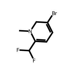 CN1CC(Br)=CC=C1C(F)F